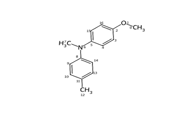 COc1ccc(N(C)c2ccc(C)cc2)cc1